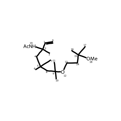 C=CC(C)(CC(C)(C)CC(C)(C)OCCC(C)(C)OC)NC(C)=O